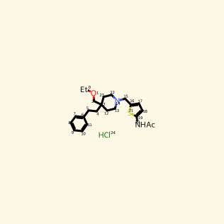 CCOCC1(CCc2ccccc2)CCN(Cc2ccc(NC(C)=O)s2)CC1.Cl